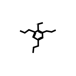 C[CH]c1c(CCC)cc(CCC)cc1CCC